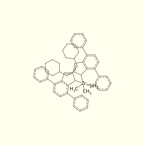 [CH3][Zr]([CH3])(=[SiH2])([CH]1C(CC2CCCCC2)=Cc2c(-c3ccccc3)ccc(-c3ccccc3)c21)[CH]1C(CC2CCCCC2)=Cc2c(-c3ccccc3)ccc(-c3ccccc3)c21